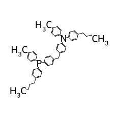 CCCCc1ccc(N(c2ccc(C)cc2)c2ccc(Cc3ccc(P(c4ccc(C)cc4)c4ccc(CCCC)cc4)cc3)cc2)cc1